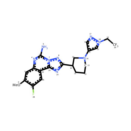 COc1cc2nc(N)n3nc(C4CCCN(c5cnn(CC(F)(F)F)c5)C4)nc3c2cc1F